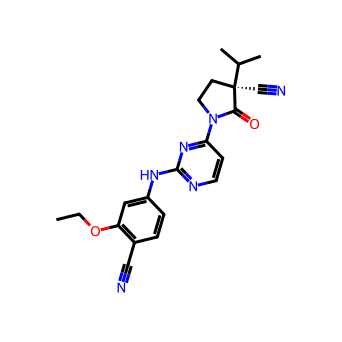 CCOc1cc(Nc2nccc(N3CC[C@@](C#N)(C(C)C)C3=O)n2)ccc1C#N